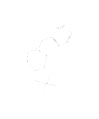 CC(C)(C)CC1CCCN(Cc2ccccc2)C1